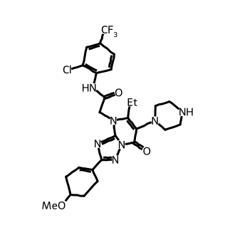 CCc1c(N2CCNCC2)c(=O)n2nc(C3=CCC(OC)CC3)nc2n1CC(=O)Nc1ccc(C(F)(F)F)cc1Cl